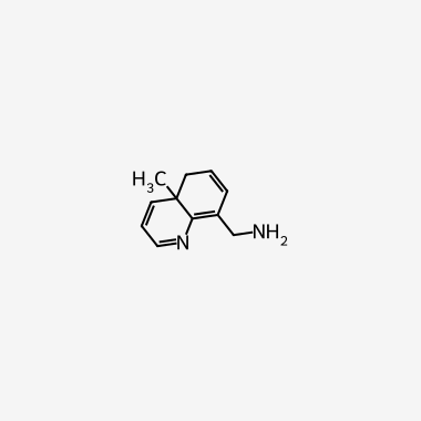 CC12C=CC=NC1=C(CN)C=CC2